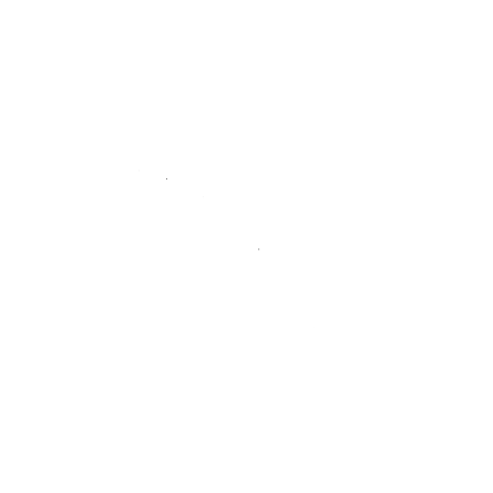 CC(C)(O)CS(=O)(=O)CC1CCC(c2cc(F)ccc2F)(S(=O)(=O)c2ccc(Cl)cc2)CC1